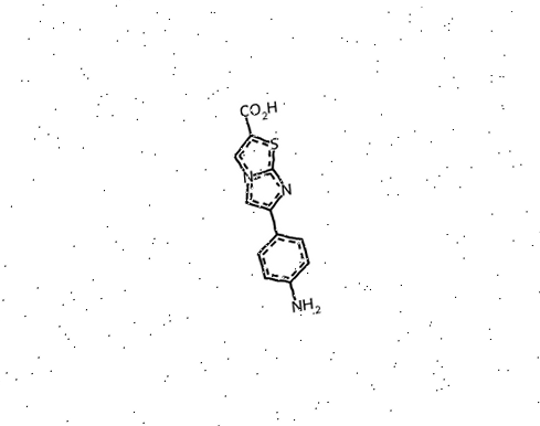 Nc1ccc(-c2cn3cc(C(=O)O)sc3n2)cc1